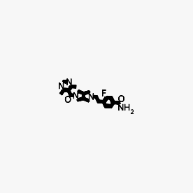 Cc1ncnc(C)c1C(=O)N1CC2CN(CCc3ccc(C(N)=O)cc3F)CC2C1